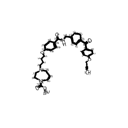 C#CCOc1ccc(C(=O)c2ccc(CNC(=O)c3ccc(OCCCCN4CCCN(C(=O)OC(C)(C)C)CC4)cc3)cc2)cc1